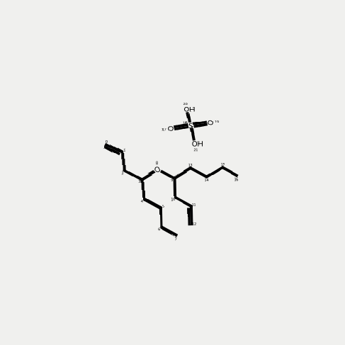 C=CCC(CCCC)OC(CC=C)CCCC.O=S(=O)(O)O